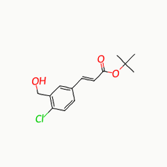 CC(C)(C)OC(=O)C=Cc1ccc(Cl)c(CO)c1